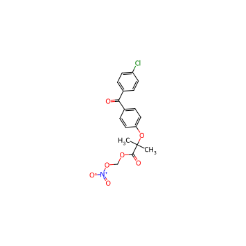 CC(C)(Oc1ccc(C(=O)c2ccc(Cl)cc2)cc1)C(=O)OCO[N+](=O)[O-]